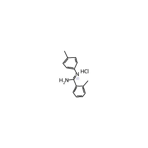 Cc1ccc(/N=C(\N)c2ccccc2C)cc1.Cl